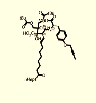 CC#CCOc1ccc(C[C@H](NC(=O)[C@@H](C=CCCCCCCC(=O)CCCCCCC)[C@@](O)(C(=O)O)C(COC(=O)C(C)(C)C)(COC(=O)C(C)(C)C)C(=O)O)C(=O)OC)cc1